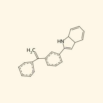 C=C(c1ccccc1)c1cccc(C2=CC3C=CC=CC3N2)c1